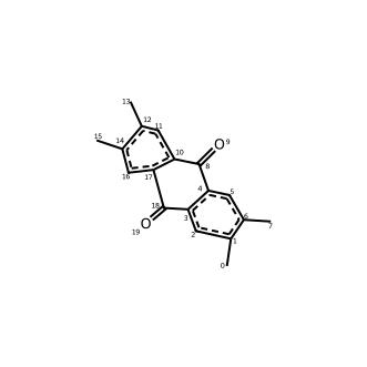 Cc1cc2c(cc1C)C(=O)c1cc(C)c(C)cc1C2=O